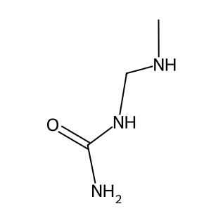 CNCNC(N)=O